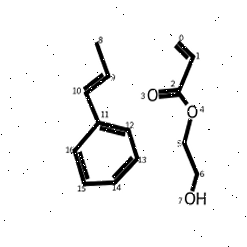 C=CC(=O)OCCO.CC=Cc1ccccc1